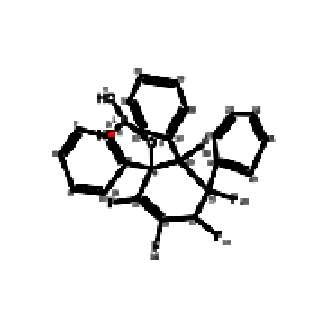 OB(O)OC1(c2ccccc2)C(F)=C(F)C(F)C(F)(c2ccccc2)C1(F)c1ccccc1